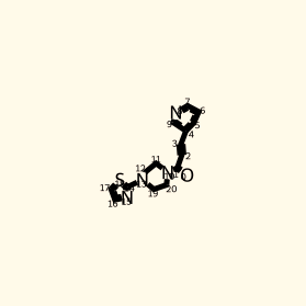 O=C(C#Cc1cccnc1)N1CCN(c2nccs2)CC1